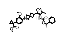 COC(=O)C1(c2ccc(N3CC4(CC(c5onc(C)c5NC(=O)O[C@H](C)c5ccccc5)C4)C3)c(OC)c2)CC1